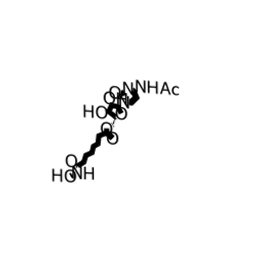 CC(=O)Nc1ccn([C@@H]2O[C@H](COC(=O)CCCCCCC(=O)NO)[C@@H](O)[C@@H]2O)c(=O)n1